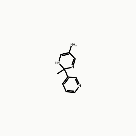 CC1(c2cccnc2)N=CC(N)=CN1